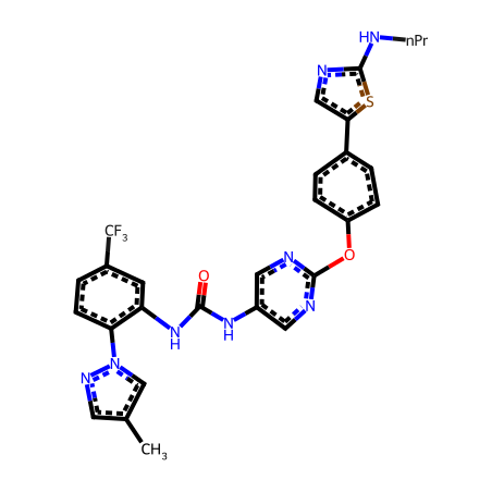 CCCNc1ncc(-c2ccc(Oc3ncc(NC(=O)Nc4cc(C(F)(F)F)ccc4-n4cc(C)cn4)cn3)cc2)s1